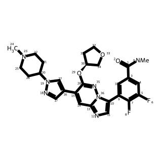 CNC(=O)c1cc(F)c(F)c(-c2cnc3cc(-c4cnn(C5CCN(C)CC5)c4)c(O[C@H]4CCOC4)nn23)c1